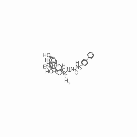 CC[C@H]1[C@@H](O)[C@@H]2[C@H](CC[C@]3(C)[C@@H]([C@H](C)CCNC(=O)NSc4ccc(-c5ccccc5)cc4)CC[C@@H]23)[C@@]2(C)CC[C@@H](O)C[C@@H]12